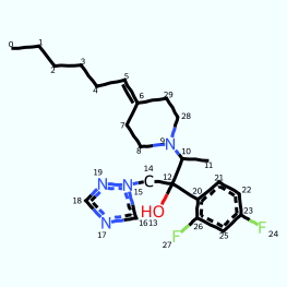 CCCCCC=C1CCN(C(C)C(O)(Cn2cncn2)c2ccc(F)cc2F)CC1